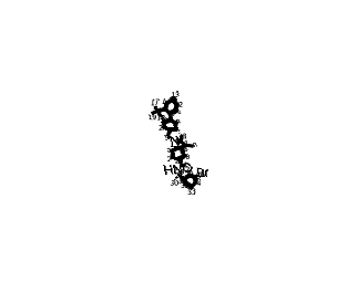 Cc1c(C)n(Cc2ccc(-c3ccccc3C(C)(C)C)cc2)c2ccc(C(=O)N[C@@H](C)c3cccc(Br)c3)cc12